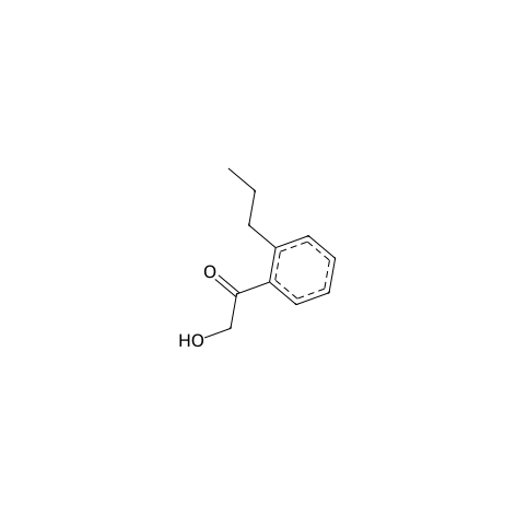 CCCc1ccccc1C(=O)CO